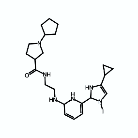 O=C(NCCNC1C=CC=C(C2NC(C3CC3)=CN2I)N1)C1CCN(C2CCCC2)C1